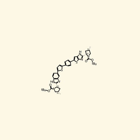 C[C@H]1C[C@@H](c2nc3cc(-c4ccc(-c5ccc(-c6cc7[nH]c([C@@H]8C[C@H](C)CN8C(=O)OC(C)(C)C)nc7s6)cc5)s4)ccc3[nH]2)N(C(=O)OC(C)(C)C)C1